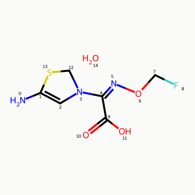 NC1=CN(C(=NOCF)C(=O)O)CS1.O